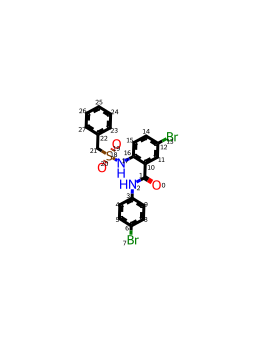 O=C(Nc1ccc(Br)cc1)c1cc(Br)ccc1NS(=O)(=O)Cc1ccccc1